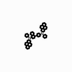 c1ccc(N(c2ccc(-c3ccc(N(c4ccccc4)c4cc5ccc6cccc7ccc(c4)c5c67)c4ccccc34)cc2)c2cc3ccc4cccc5ccc(c2)c3c45)cc1